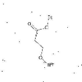 CCCOCCC(=O)OCC